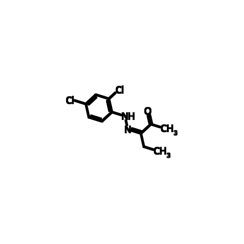 CCC(=NNc1ccc(Cl)cc1Cl)C(C)=O